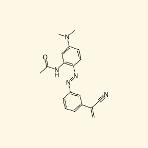 C=C(C#N)c1cccc(N=Nc2ccc(N(C)C)cc2NC(C)=O)c1